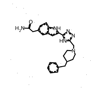 NC(=O)Cc1ccc2[nH]c(-c3nnc(CN4CCC(Cc5ccccc5)CC4)[nH]3)cc2c1